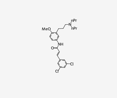 CCCN(CCC)CCCc1cc(NC(=O)C=Cc2cc(Cl)cc(Cl)c2)ccc1OC